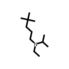 CCN(CCCC(C)(C)C)C(C)C